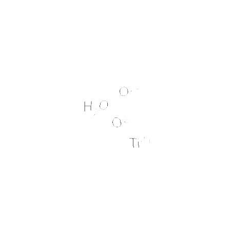 O.[O-2].[O-2].[Ti+4]